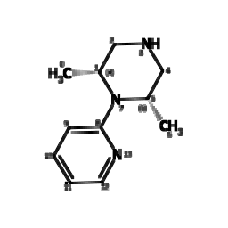 C[C@@H]1CNC[C@H](C)N1c1cc[c]cn1